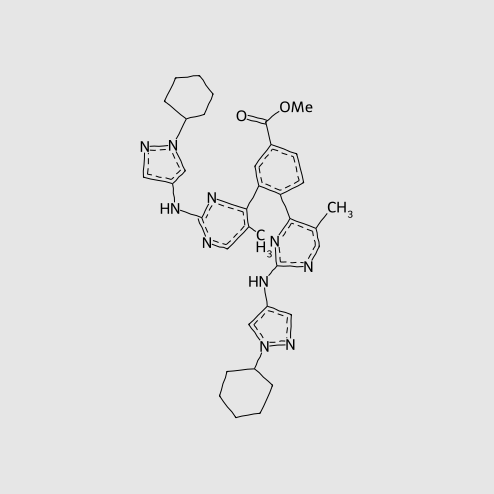 COC(=O)c1ccc(-c2nc(Nc3cnn(C4CCCCC4)c3)ncc2C)c(-c2nc(Nc3cnn(C4CCCCC4)c3)ncc2C)c1